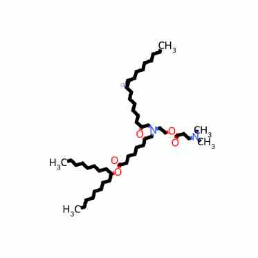 CCCCCCCC/C=C\CCCCCCC1CN(CCOC(=O)CCN(C)C)CC(CCCCCC(=O)OC(CCCCCCCC)CCCCCCCC)O1